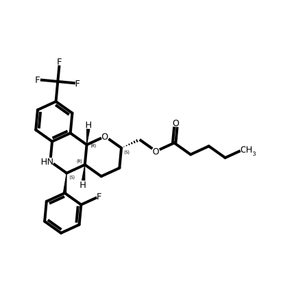 CCCCC(=O)OC[C@@H]1CC[C@@H]2[C@@H](c3ccccc3F)Nc3ccc(C(F)(F)F)cc3[C@@H]2O1